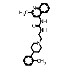 Cc1cc(NC(=O)NCCN2CCC(c3ccccc3C)CC2)c2ccccc2n1